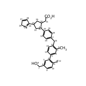 Cc1cc(-c2cc(CO)ccc2F)ccc1Cc1ccc(N2CC(C3=NCC=C3)CC2CC(=O)O)cc1